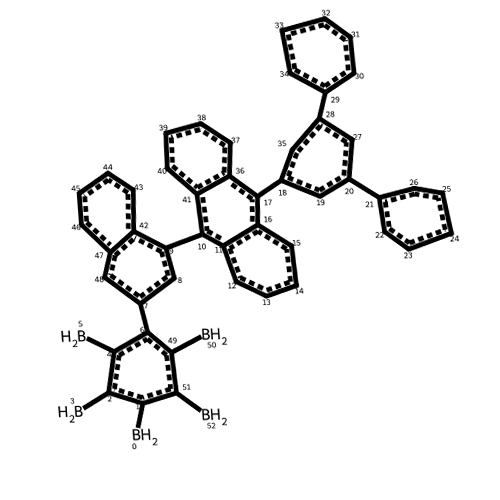 Bc1c(B)c(B)c(-c2cc(-c3c4ccccc4c(-c4cc(-c5ccccc5)cc(-c5ccccc5)c4)c4ccccc34)c3ccccc3c2)c(B)c1B